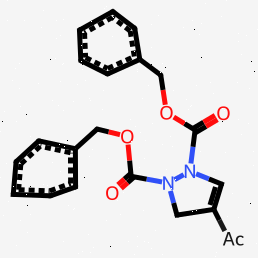 CC(=O)C1=CN(C(=O)OCc2ccccc2)N(C(=O)OCc2ccccc2)C1